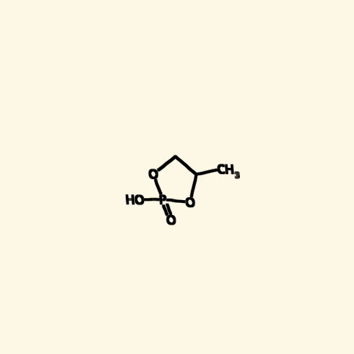 CC1COP(=O)(O)O1